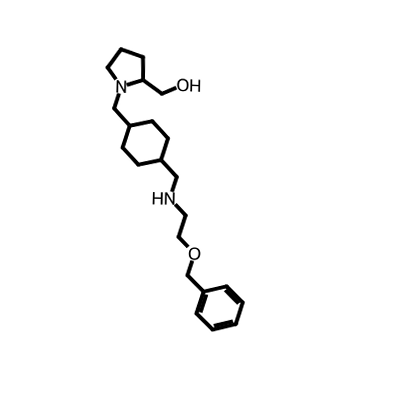 OCC1CCCN1CC1CCC(CNCCOCc2ccccc2)CC1